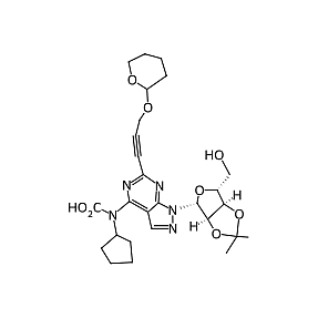 CC1(C)O[C@@H]2[C@H](O1)[C@@H](CO)O[C@H]2n1ncc2c(N(C(=O)O)C3CCCC3)nc(C#CCOC3CCCCO3)nc21